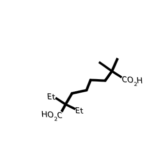 CCC(CC)(CCCCC(C)(C)C(=O)O)C(=O)O